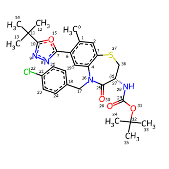 Cc1cc2c(cc1-c1nnc(C(C)(C)C)o1)N(Cc1ccc(Cl)cc1)C(=O)[C@@H](NC(=O)OC(C)(C)C)CS2